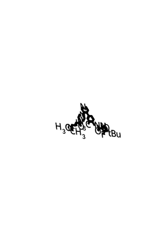 Cc1cc(-c2ccncc2N2CCN(C(=O)C=CCN(C)C)CC2)ccc1CNC(=O)c1noc(C(C)(C)C)c1F